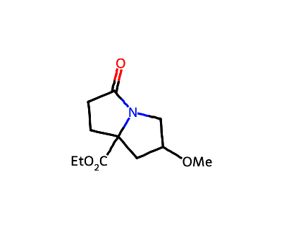 CCOC(=O)C12CCC(=O)N1CC(OC)C2